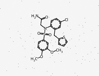 COc1ccc(S(=O)(=O)N(CC(N)=O)c2ccc(Cl)cc2Cc2cccs2)cc1OC